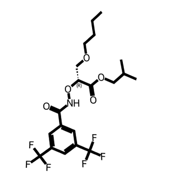 CCCCOC[C@@H](ONC(=O)c1cc(C(F)(F)F)cc(C(F)(F)F)c1)C(=O)OCC(C)C